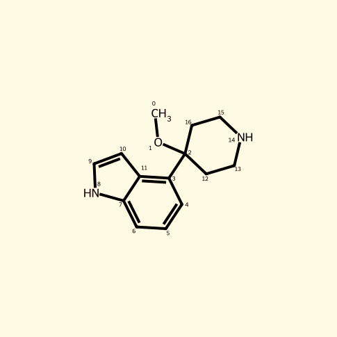 COC1(c2cccc3[nH]ccc23)CCNCC1